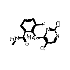 CNC(=O)c1cccc(F)c1[AsH]c1nc(Cl)ncc1Cl